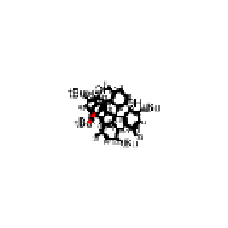 Cc1cc(-c2c(C)cccc2C(c2cc(C)cc(C(C)(C)C)c2O)(c2cc(C)cc(C(C)(C)C)c2O)c2cc(C)cc(C(C)(C)C)c2O)c(O)c(C(C)(C)C)c1